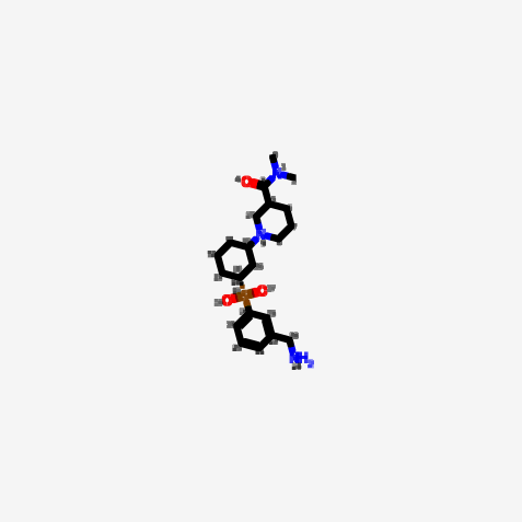 CN(C)C(=O)C1CCCN(C2CCC[C@@H](S(=O)(=O)c3cccc(CN)c3)C2)C1